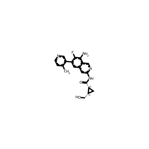 Cc1ccncc1-c1cc2cc(NC(=O)[C@@H]3C[C@@H]3CO)ncc2c(N)c1F